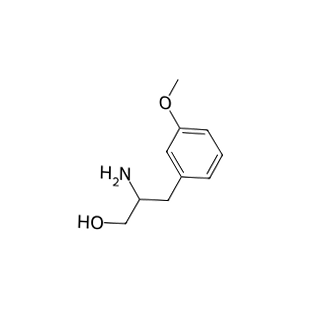 COc1cccc(CC(N)CO)c1